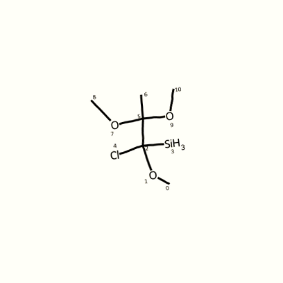 COC([SiH3])(Cl)C(C)(OC)OC